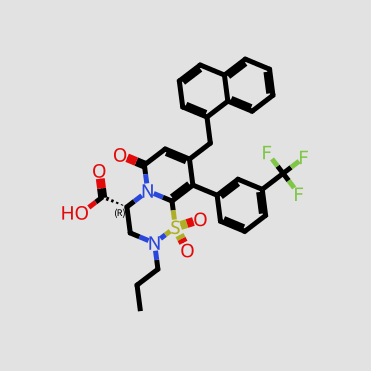 CCCN1C[C@H](C(=O)O)n2c(c(-c3cccc(C(F)(F)F)c3)c(Cc3cccc4ccccc34)cc2=O)S1(=O)=O